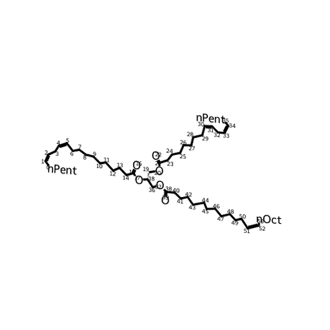 CCCCC/C=C\C/C=C\CCCCCCCCCC(=O)O[C@H](COC(=O)CCCCCCC/C=C\C/C=C\CCCCC)COC(=O)CCCCCCCCCCC/C=C\CCCCCCCC